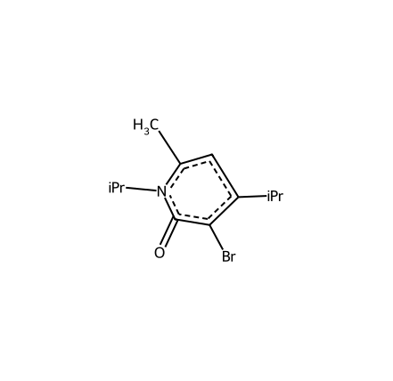 Cc1cc(C(C)C)c(Br)c(=O)n1C(C)C